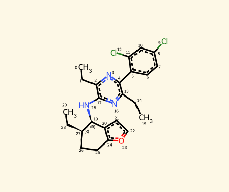 CCc1nc(-c2ccc(Cl)cc2Cl)c(CC)nc1N[C@H]1c2ccoc2CC[C@H]1CC